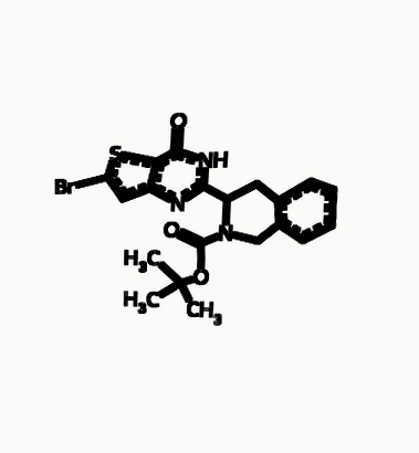 CC(C)(C)OC(=O)N1Cc2ccccc2CC1c1nc2cc(Br)sc2c(=O)[nH]1